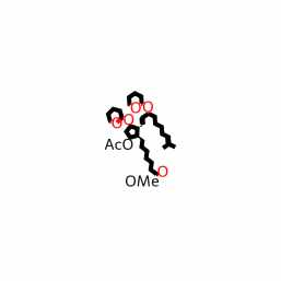 COC(=O)CCCCCC[C@@H]1[C@@H](/C=C/C(CCCCC=C(C)C)OC2CCCCO2)[C@H](OC2CCCCO2)C[C@H]1OC(C)=O